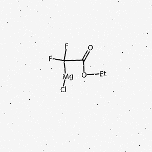 CCOC(=O)[C](F)(F)[Mg][Cl]